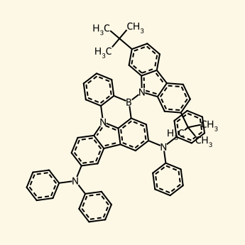 CC(C)(C)c1ccc2c3ccc(C(C)(C)C)cc3n(B3c4ccccc4-n4c5ccc(N(c6ccccc6)c6ccccc6)cc5c5cc(N(c6ccccc6)c6ccccc6)cc3c54)c2c1